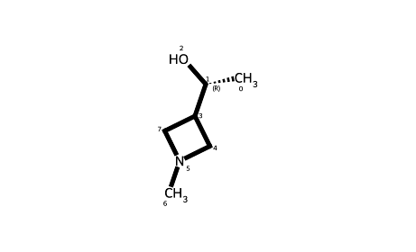 C[C@@H](O)C1CN(C)C1